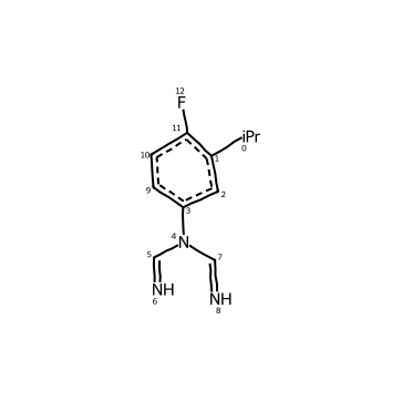 CC(C)c1cc(N(C=N)C=N)ccc1F